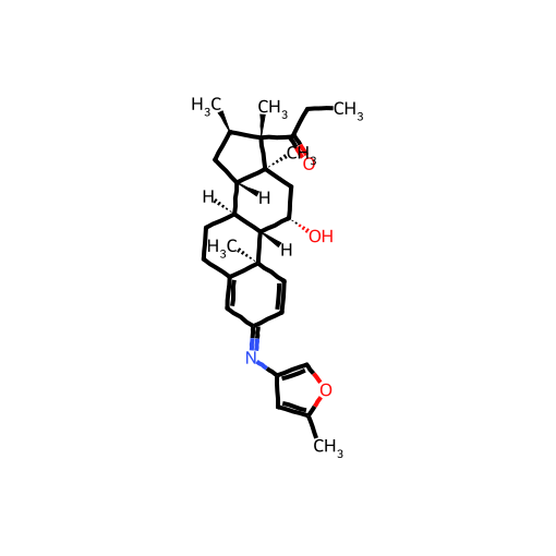 CCC(=O)[C@@]1(C)[C@H](C)C[C@H]2[C@@H]3CCC4=C/C(=N/c5coc(C)c5)C=C[C@]4(C)[C@H]3[C@@H](O)C[C@@]21C